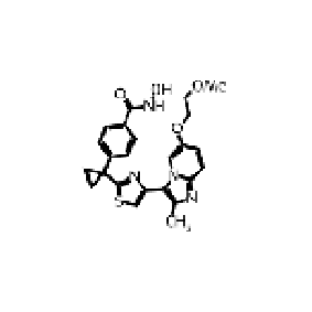 COCCOc1ccc2nc(C)c(-c3csc(C4(c5ccc(C(=O)NO)cc5)CC4)n3)n2c1